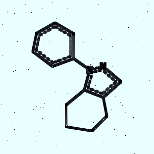 c1ccc(-n2ncc3c2CCCC3)cc1